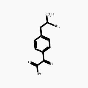 CC(C)C(=O)C(=O)c1ccc(CC(N)C(=O)O)cc1